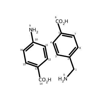 NCc1ccc(C(=O)O)cc1.Nc1ccc(C(=O)O)cc1